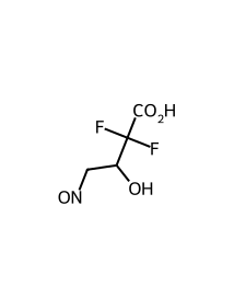 O=NCC(O)C(F)(F)C(=O)O